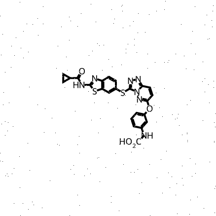 O=C(O)Nc1cccc(Oc2ccc3nnc(Sc4ccc5nc(NC(=O)C6CC6)sc5c4)n3n2)c1